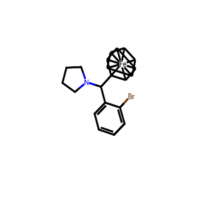 Brc1ccccc1C(N1CCCC1)[C]12[CH]3[CH]4[CH]5[CH]1[Fe]45321678[CH]2[CH]1[CH]6[CH]7[CH]28